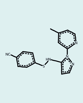 Cc1ccnc(-n2nccc2NSc2ccc(C#N)cc2)c1